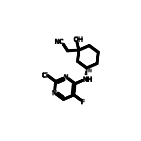 N#CCC1(O)CCC[C@H](Nc2nc(Cl)ncc2F)C1